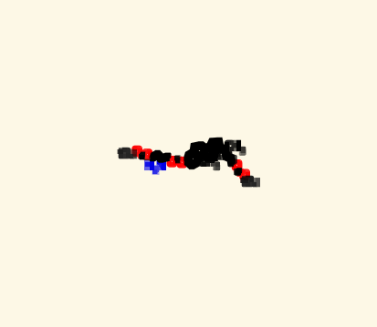 C[C@H](CCCOCOC(C)(C)C)C1CCC2C3CCC4CC(OCOC[C@@H](N)CCOCOC(C)(C)C)CCC4(C)[C@H]3CCC21C